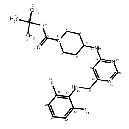 CC(C)(C)OC(=O)N1CCC(Nc2cc(CNc3c(F)cccc3Cl)ncn2)CC1